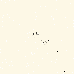 N#Cc1ccnc(SN[C@H]2C[C@@H](Nc3c(-c4ncc(CO)o4)cnc4[nH]ccc34)C2)c1